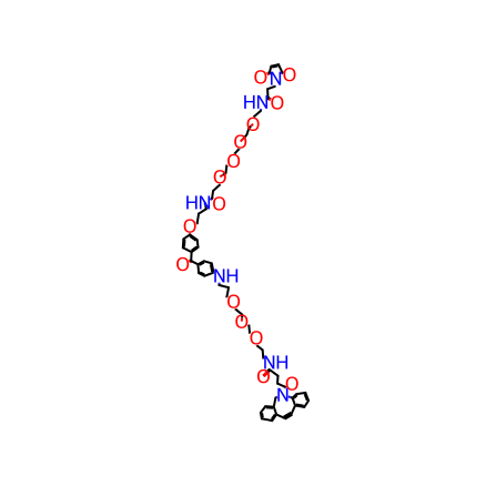 O=C(CCOCCOCCOCCOCCNC(=O)CCN1C(=O)C=CC1=O)NCCCOc1ccc(C(=O)c2ccc(NCCCOCCOCCOCCCNC(=O)CCC(=O)N3Cc4ccccc4C#Cc4ccccc43)cc2)cc1